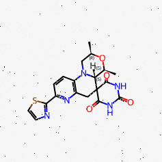 C[C@@H]1CN2c3ccc(-c4nccs4)nc3CC3(C(=O)NC(=O)NC3=O)[C@H]2[C@H](C)O1